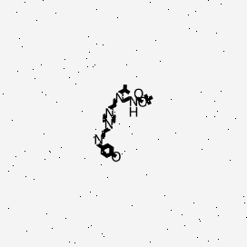 COc1ccc(CN(C)CCCN2CCN(CCCN(CCNC(=O)OC(C)(C)C)CC(C)C)CC2)cc1